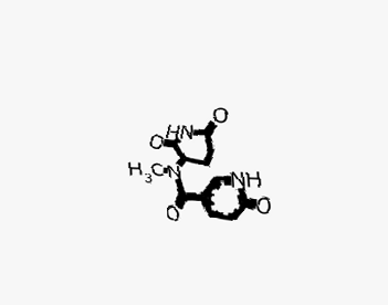 CN(C(=O)c1ccc(=O)[nH]c1)C1CCC(=O)NC1=O